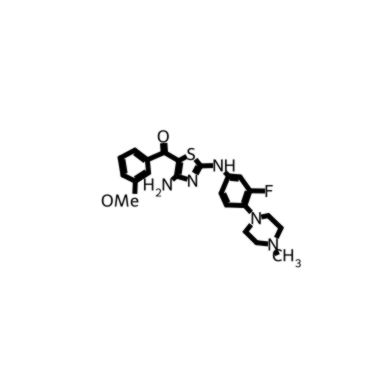 COc1cccc(C(=O)c2sc(Nc3ccc(N4CCN(C)CC4)c(F)c3)nc2N)c1